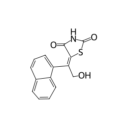 O=C1NC(=O)/C(=C(/CO)c2cccc3ccccc23)S1